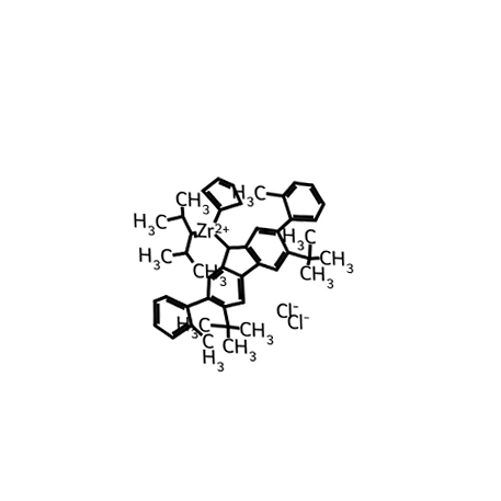 Cc1ccccc1-c1cc2c(cc1C(C)(C)C)-c1cc(C(C)(C)C)c(-c3ccccc3C)cc1[CH]2[Zr+2]([C]1=CC=CC1)=[C](C(C)C)C(C)C.[Cl-].[Cl-]